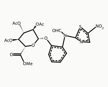 COC(=O)[C@H]1O[C@@H](Oc2ccccc2N(C=O)c2ncc([N+](=O)[O-])s2)[C@H](OC(C)=O)[C@@H](OC(C)=O)[C@@H]1OC(C)=O